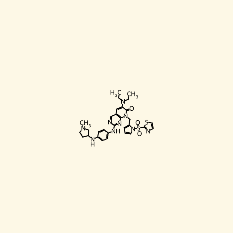 CCN(CC)c1cc2cnc(Nc3ccc(NC4CCN(C)C4)cc3)nc2n(Cc2cccn2S(=O)(=O)c2nccs2)c1=O